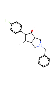 CC1C(c2ccc(F)cc2)C(=O)C2CN(Cc3ccccc3)CC21